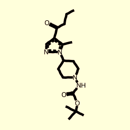 CCCC(=O)c1cnn(C2CCN(NC(=O)OC(C)(C)C)CC2)c1C